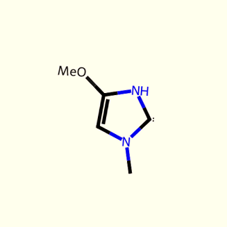 COC1=CN(C)[C]N1